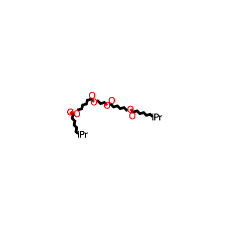 CC(C)CCCCCC(=O)OCCCCCC(=O)OCCCOC(=O)CCCCCOC(=O)CCCCCC(C)C